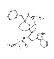 CN(C)N(C)C(=O)[C@@]1(Cc2ccccc2)CCCN(C(=O)[C@@H](Cc2c[nH]c3ccccc23)NC(=O)C(C)(C)N)C1.O